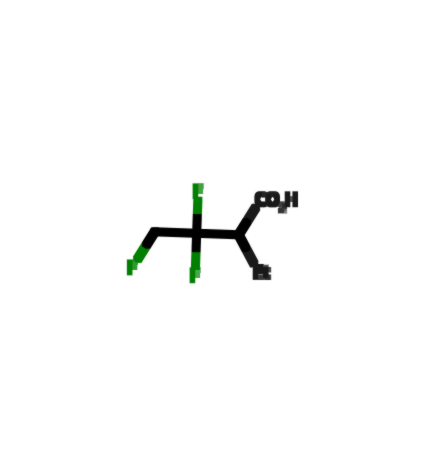 CCC(C(=O)O)C(F)(F)CF